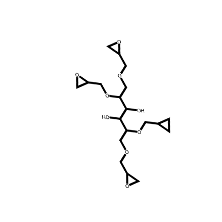 OC(C(COCC1CO1)OCC1CC1)C(O)C(COCC1CO1)OCC1CO1